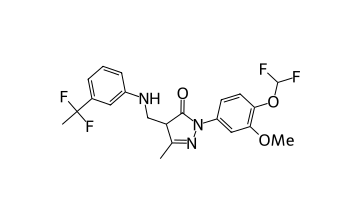 COc1cc(N2N=C(C)C(CNc3cccc(C(C)(F)F)c3)C2=O)ccc1OC(F)F